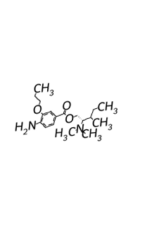 CCCOc1cc(C(=O)OC[C@H](C(C)CC)N(C)C)ccc1N